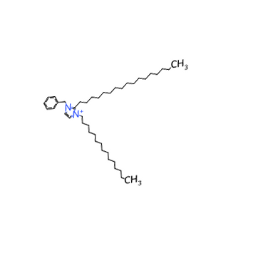 CCCCCCCCCCCCCCCCCc1n(Cc2ccccc2)cc[n+]1CCCCCCCCCCCCCCC